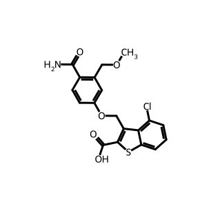 COCc1cc(OCc2c(C(=O)O)sc3cccc(Cl)c23)ccc1C(N)=O